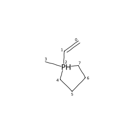 C=C[PH]1(C)CCCC1